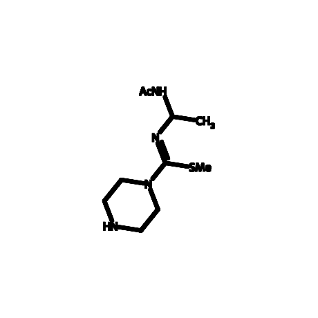 CS/C(=N\C(C)NC(C)=O)N1CCNCC1